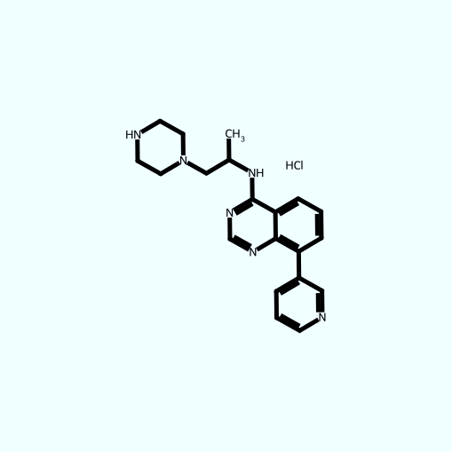 CC(CN1CCNCC1)Nc1ncnc2c(-c3cccnc3)cccc12.Cl